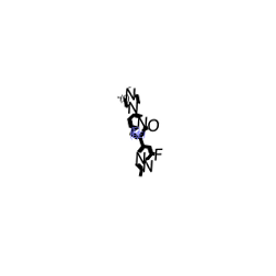 Cc1cn2cc(C3=C\C(=O)N4C=C(N5CCN(C)[C@@H](C)C5)C=C\C4=C/C=C/3)cc(F)c2n1